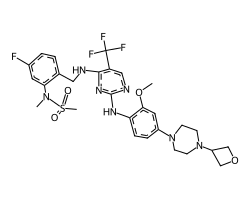 COc1cc(N2CCN(C3COC3)CC2)ccc1Nc1ncc(C(F)(F)F)c(NCc2ccc(F)cc2N(C)S(C)(=O)=O)n1